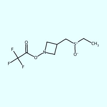 CC[S+]([O-])CC1CN(OC(=O)C(F)(F)F)C1